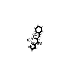 CC(C)(C)N(C(=O)O)[C@@H](CC1CCCCC1)C(=O)c1cccs1